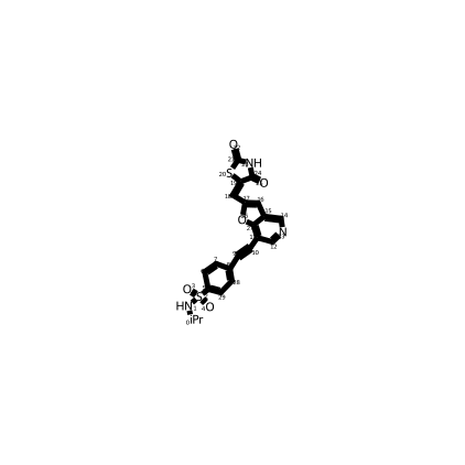 CC(C)NS(=O)(=O)c1ccc(C#Cc2cncc3cc(/C=C4/SC(=O)NC4=O)oc23)cc1